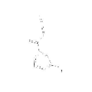 CC(C)Oc1cccc(C(=O)C=[N+]=[N-])c1